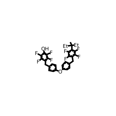 CCC(C)(CC)c1c(F)c(F)c(Cc2ccc(Oc3ccc(Cc4c(F)c(F)c(O)c(F)c4F)cc3)cc2)c(F)c1F